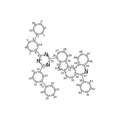 c1ccc(-c2cccc(-c3nc(-c4cccc(-c5ccccc5)c4)nc(-c4cccc5c4sc4ccc6c(-c7ccccc7)nc7ccccc7c6c45)n3)c2)cc1